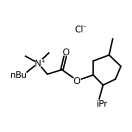 CCCC[N+](C)(C)CC(=O)OC1CC(C)CCC1C(C)C.[Cl-]